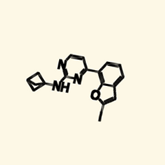 Ic1cc2cccc(-c3ccnc(NC45CC(C4)C5)n3)c2o1